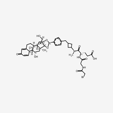 CN(C(=O)[C@H](CCC(=O)O)NC(=O)CNC(=O)CBr)C1CC(Cc2ccc([C@@H]3O[C@@H]4C[C@H]5[C@@H]6CCC7=CC(=O)C=C[C@]7(C)[C@H]6[C@@H](O)C[C@]5(C)[C@]4(C(=O)CO)O3)cc2)C1